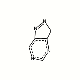 c1ncc2c(n1)CN=N2